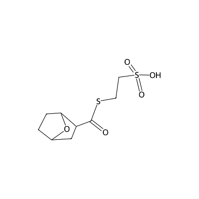 O=C(SCCS(=O)(=O)O)C1CC2CCC1O2